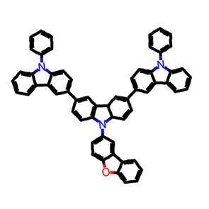 C1=CC2C(C=C1c1ccc3c(c1)c1ccccc1n3-c1ccccc1)c1cc(-c3ccc4c(c3)c3ccccc3n4-c3ccccc3)ccc1N2c1ccc2oc3ccccc3c2c1